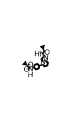 O=C(Nc1cn2c(-c3ccc(NS(=O)(=O)C4CC4)cc3)cccc2n1)C1CC1